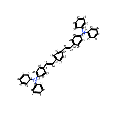 C1=CCC(N(c2ccccc2)c2ccc(/C=C/c3ccc(/C=C/c4ccc(N(c5ccccc5)c5ccccc5)cc4)cc3)cc2)C=C1